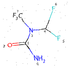 NC(=O)N(C(F)F)C(F)(F)F